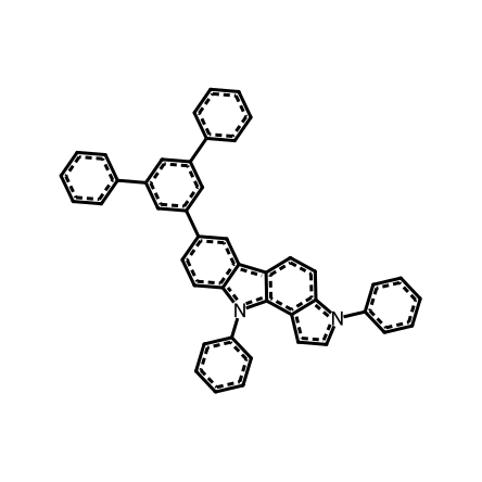 c1ccc(-c2cc(-c3ccccc3)cc(-c3ccc4c(c3)c3ccc5c(ccn5-c5ccccc5)c3n4-c3ccccc3)c2)cc1